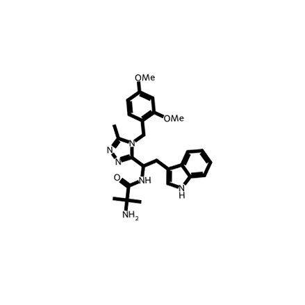 COc1ccc(Cn2c(C)nnc2C(Cc2c[nH]c3ccccc23)NC(=O)C(C)(C)N)c(OC)c1